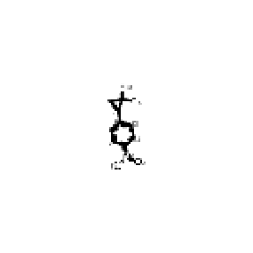 O=[N+]([O-])c1ccc(C2CC2(F)F)cc1